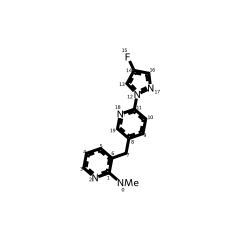 CNc1ncccc1Cc1ccc(-n2cc(F)cn2)nc1